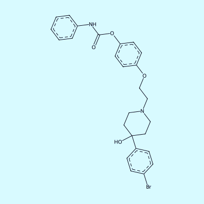 O=C(Nc1ccccc1)Oc1ccc(OCCN2CCC(O)(c3ccc(Br)cc3)CC2)cc1